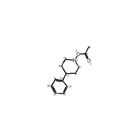 CC(=O)ON1CCC(c2ccccc2)CC1